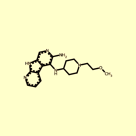 COCCN1CCC(Nc2c(N)ncc3[nH]c4ncccc4c23)CC1